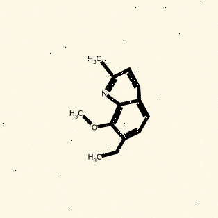 CCc1ccc2ccc(C)nc2c1OC